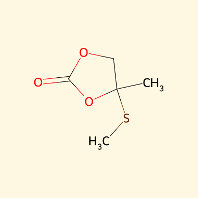 CSC1(C)COC(=O)O1